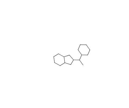 CC(C1CCCCC1)C1CC2CCCCC2C1